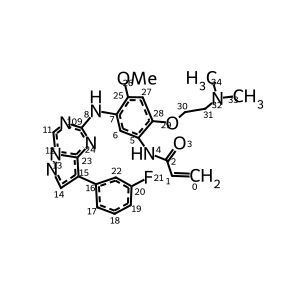 C=CC(=O)Nc1cc(Nc2ncn3ncc(-c4cccc(F)c4)c3n2)c(OC)cc1OCCN(C)C